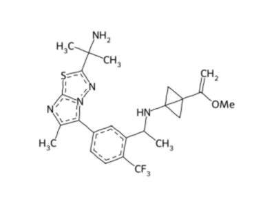 C=C(OC)C12CC1(NC(C)c1cc(-c3c(C)nc4sc(C(C)(C)N)nn34)ccc1C(F)(F)F)C2